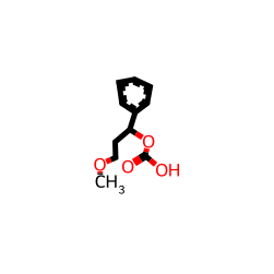 COCCC(OC(=O)O)c1ccccc1